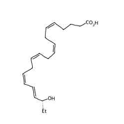 CC[C@@H](O)/C=C/C=C\C/C=C\C/C=C\C/C=C\CCCC(=O)O